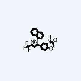 O=C1COc2ccc(-c3cc(C(F)(F)F)nn3-c3cccc4ccccc34)cc2N1